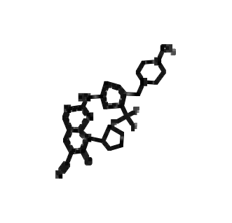 CN1CCN(Cc2ccc(Nc3ncc4cc(C#N)c(=O)n(C5CCCC5)c4n3)cc2C(F)(F)F)CC1